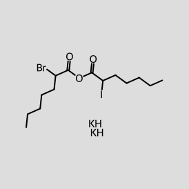 CCCCCC(Br)C(=O)OC(=O)C(I)CCCCC.[KH].[KH]